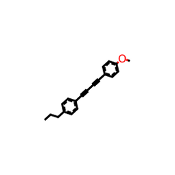 CCCc1ccc(C#CC#Cc2ccc(OC)cc2)cc1